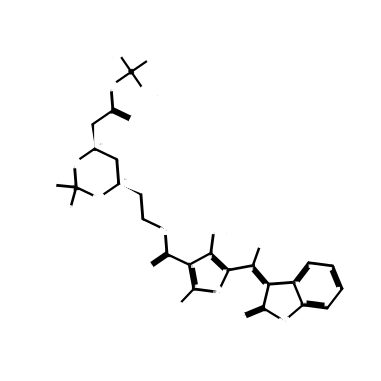 Cc1[nH]c(C(F)=C2C(=O)Nc3ccccc32)c(C)c1C(=O)NCC[C@@H]1C[C@H](CC(=O)OC(C)(C)C)OC(C)(C)O1